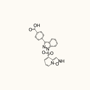 O=C(O)c1ccc(-c2nn(S(=O)(=O)C3=CC=CN4ONC=C34)c3ccccc23)cc1